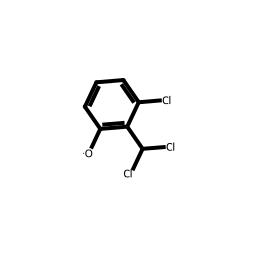 [O]c1cccc(Cl)c1C(Cl)Cl